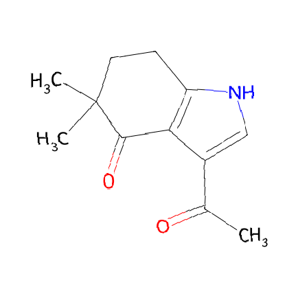 CC(=O)c1c[nH]c2c1C(=O)C(C)(C)CC2